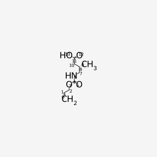 C=CCOC(=O)NC[C@@H](C)CC(=O)O